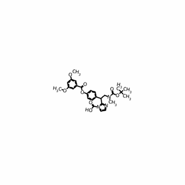 COc1cc(OC)cc(C(=O)Oc2ccc(C(CN(C)C(=O)OC(C)(C)C)c3nccn3C(=O)O)cc2)c1